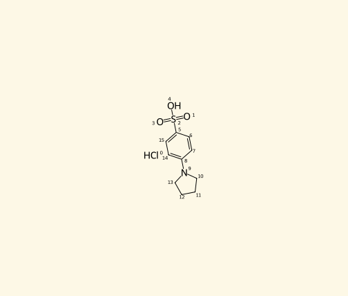 Cl.O=S(=O)(O)c1ccc(N2CCCC2)cc1